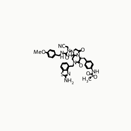 COc1ccc(CNC(=O)N(CC#N)N2CC(=O)N3[C@@H](Cc4ccc(NS(C)(=O)=O)cc4)C(=O)N(Cc4cccc5sc(N)nc45)C[C@@H]32)cc1